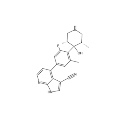 Cc1cc(-c2ccnc3[nH]cc(C#N)c23)cc(F)c1C1(O)[C@H](C)CNC[C@@H]1C